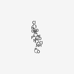 O=c1c(Cl)c(NC[C@H]2CCCOC2)cnn1C1[C@H](F)CN(S(=O)(=O)c2ccc(Cl)cn2)C[C@@H]1F